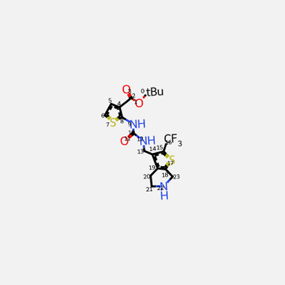 CC(C)(C)OC(=O)c1ccsc1NC(=O)NCc1c(C(F)(F)F)sc2c1CCNC2